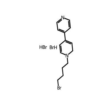 Br.Br.BrCCCCN1C=CC(c2ccncc2)=CC1